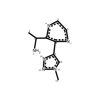 CC(N)c1nccnc1-c1cn(C)nn1